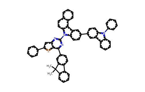 CC1(C)c2ccccc2-c2ccc(-c3nc(-n4c5ccc(-c6ccc7c(c6)c6ccccc6n7-c6ccccc6)cc5c5c6ccccc6ccc54)nc4cc(-c5ccccc5)sc34)cc21